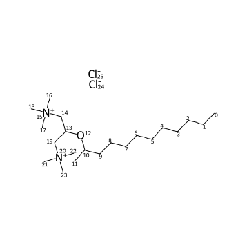 CCCCCCCCCCC(C)OC(C[N+](C)(C)C)C[N+](C)(C)C.[Cl-].[Cl-]